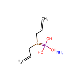 C=CCS(CC=C)=P(O)(O)O.N